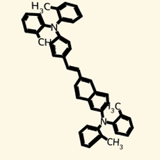 Cc1ccccc1N(c1ccc(/C=C/c2ccc3cc(N(c4ccccc4C)c4ccccc4C)ccc3c2)cc1)c1ccccc1C